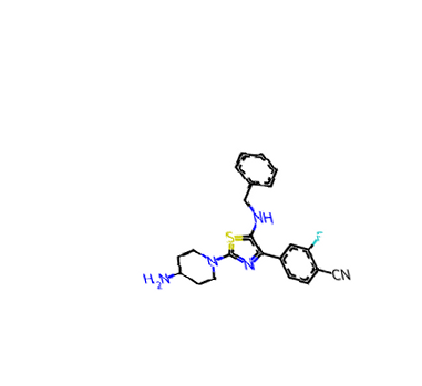 N#Cc1ccc(-c2nc(N3CCC(N)CC3)sc2NCc2ccccc2)cc1F